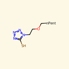 CCCCCCOCCn1nnnc1S